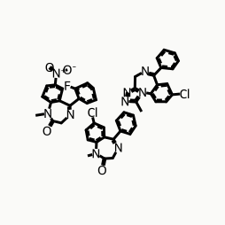 CN1C(=O)CN=C(c2ccccc2)c2cc(Cl)ccc21.CN1C(=O)CN=C(c2ccccc2F)c2cc([N+](=O)[O-])ccc21.Cc1nnc2n1-c1ccc(Cl)cc1C(c1ccccc1)=NC2